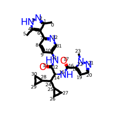 Cc1n[nH]c(C)c1-c1ccc(NC(=O)[C@@H](NC(=O)c2ccnn2C)C(C2CC2)C2CC2)cn1